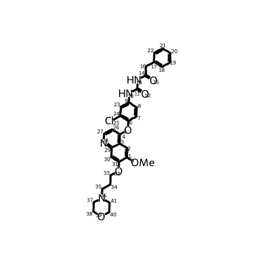 COc1cc2c(Oc3ccc(NC(=O)NC(=O)Cc4ccccc4)cc3Cl)ccnc2cc1OCCCN1CCOCC1